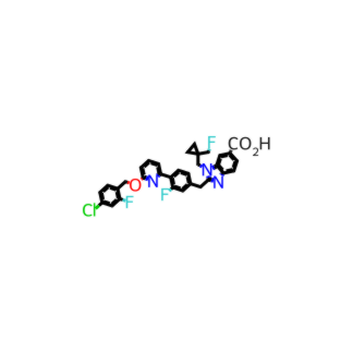 O=C(O)c1ccc2nc(Cc3ccc(-c4cccc(OCc5ccc(Cl)cc5F)n4)c(F)c3)n(CC3(CF)CC3)c2c1